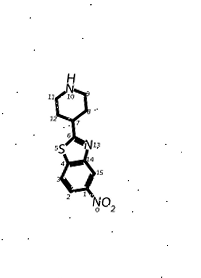 O=[N+]([O-])c1ccc2sc(C3CCNCC3)nc2c1